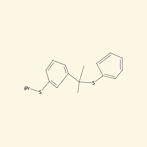 CC(C)Sc1cccc(C(C)(C)Sc2ccccc2)c1